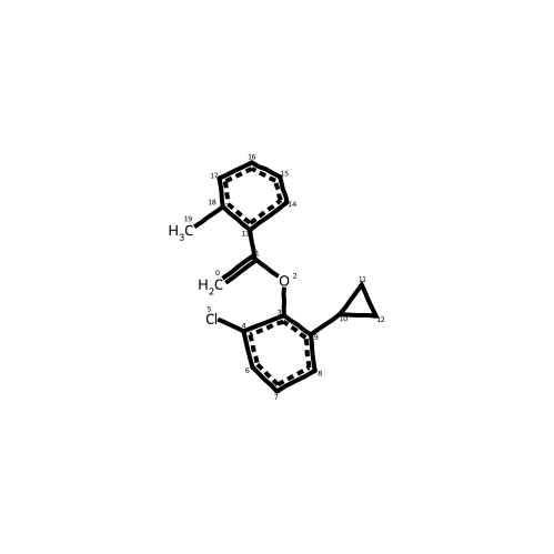 C=C(Oc1c(Cl)cccc1C1CC1)c1ccccc1C